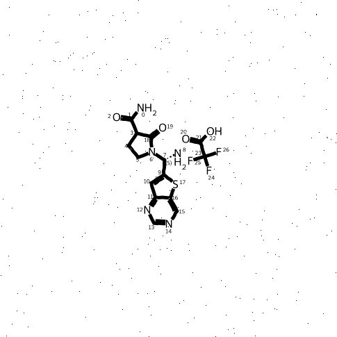 NC(=O)C1CCN([C@H](N)c2cc3ncncc3s2)C1=O.O=C(O)C(F)(F)F